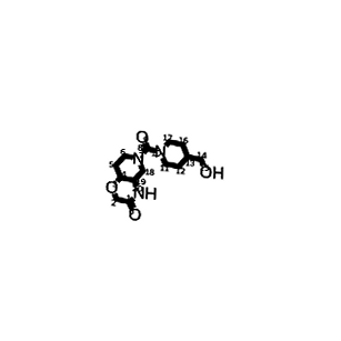 O=C1COC2CCN(C(=O)N3CCC(CO)CC3)CC2N1